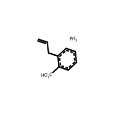 C=CCc1ccccc1C(=O)O.P